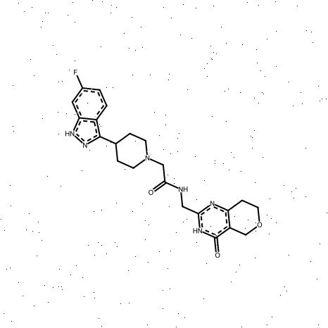 O=C(CN1CCC(c2n[nH]c3cc(F)ccc23)CC1)NCc1nc2c(c(=O)[nH]1)COCC2